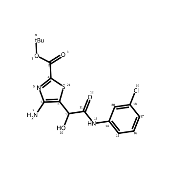 CC(C)(C)OC(=O)c1nc(N)c(C(O)C(=O)Nc2cccc(Cl)c2)s1